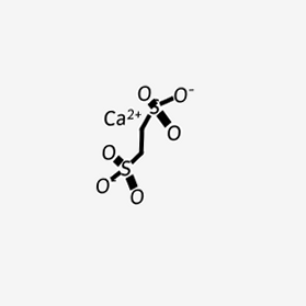 O=S(=O)([O-])CCS(=O)(=O)[O-].[Ca+2]